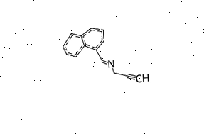 C#CCN=Cc1cccc2ccccc12